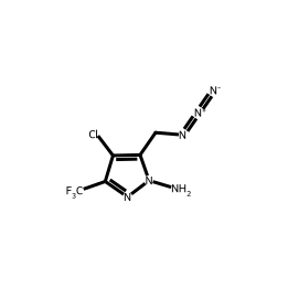 [N-]=[N+]=NCc1c(Cl)c(C(F)(F)F)nn1N